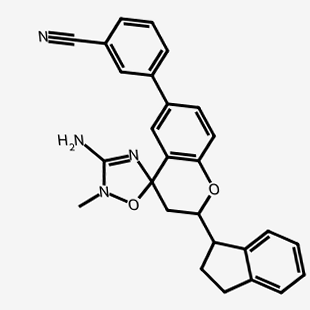 CN1OC2(CC(C3CCc4ccccc43)Oc3ccc(-c4cccc(C#N)c4)cc32)N=C1N